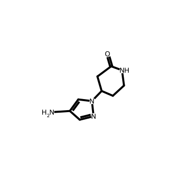 Nc1cnn(C2CCNC(=O)C2)c1